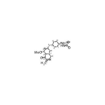 COc1nc(Cc2ccc(NN[SH](=O)=O)cc2)cc2cnn(C)c(=O)c12